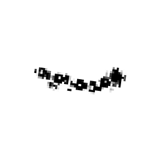 C[C@@H]1[C@@H](Nc2cccc(C=C3CCN(c4ccc(C(=O)NS(=O)(=O)c5ccc(NCC6CCOCC6)c([N+](=O)[O-])c5)cc4)CC3)c2)C[C@H]2C[C@@H]1C2(C)C